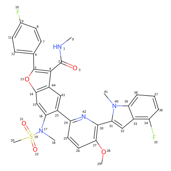 CNC(=O)c1c(-c2ccc(F)cc2)oc2cc(N(C)S(C)(=O)=O)c(-c3ccc(OC)c(-c4cc5c(F)cccc5n4C)n3)cc12